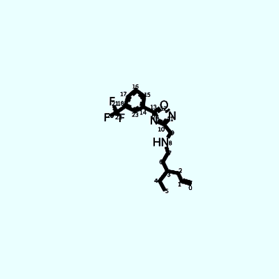 C=CCC(CC)CCNCc1noc(-c2cccc(C(F)(F)F)c2)n1